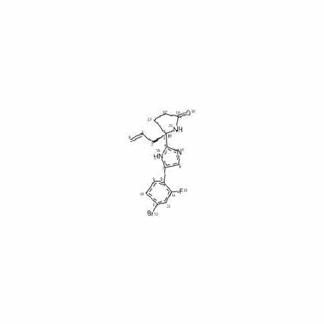 C=CC[C@@]1(c2ncc(-c3ccc(Br)cc3F)[nH]2)CCC(=O)N1